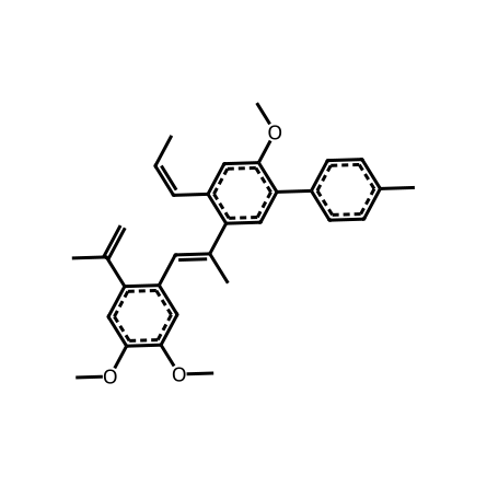 C=C(C)c1cc(OC)c(OC)cc1/C=C(\C)c1cc(-c2ccc(C)cc2)c(OC)cc1/C=C\C